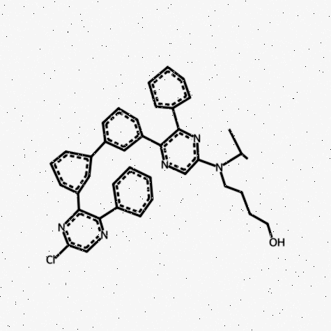 CC(C)N(CCCCO)c1cnc(-c2cccc(-c3cccc(-c4nc(Cl)cnc4-c4ccccc4)c3)c2)c(-c2ccccc2)n1